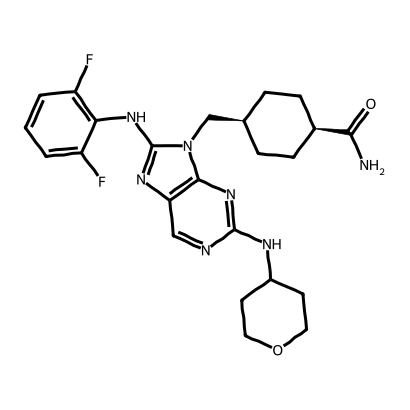 NC(=O)[C@H]1CC[C@@H](Cn2c(Nc3c(F)cccc3F)nc3cnc(NC4CCOCC4)nc32)CC1